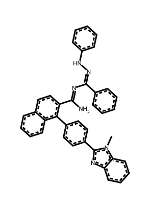 Cn1c(-c2ccc(-c3c(/C(N)=N/C(=N\Nc4ccccc4)c4ccccc4)ccc4ccccc34)cc2)nc2ccccc21